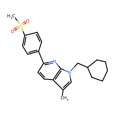 Cc1cn(CC2CCCCC2)c2nc(-c3ccc(S(C)(=O)=O)cc3)ccc12